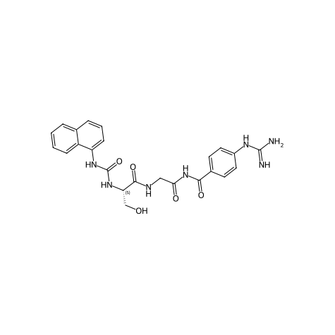 N=C(N)Nc1ccc(C(=O)NC(=O)CNC(=O)[C@H](CO)NC(=O)Nc2cccc3ccccc23)cc1